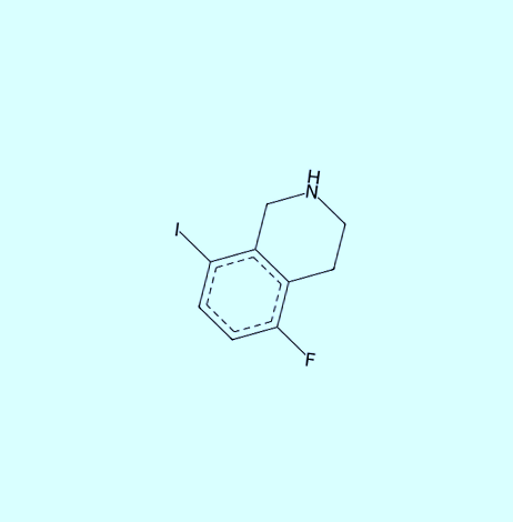 Fc1ccc(I)c2c1CCNC2